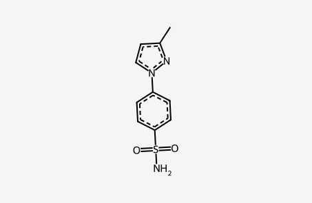 Cc1ccn(-c2ccc(S(N)(=O)=O)cc2)n1